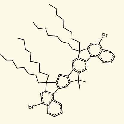 CCCCCCCCC1(CCCCCCCC)c2cc3c(cc2-c2c1cc(Br)c1ccccc21)C(C)(C)c1cc2c(cc1-3)C(CCCCCCCC)(CCCCCCCC)c1cc(Br)c3ccccc3c1-2